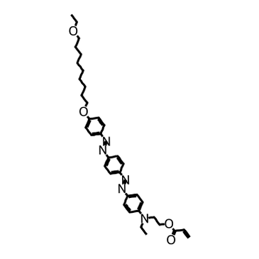 C=CC(=O)OCCN(CC)c1ccc(N=Nc2ccc(N=Nc3ccc(OCCCCCCCCCOCC)cc3)cc2)cc1